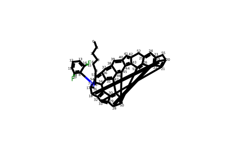 CCCCCCC1N(c2c(F)cccc2F)CC2c3cc4c5c6c(cc7c8c6c6c9c%10c(c3c59)C3c5c(cc9cc%11cc(c%12c%11c%11c9c5c%10c%11c6c%128)C7)=CC231)C4